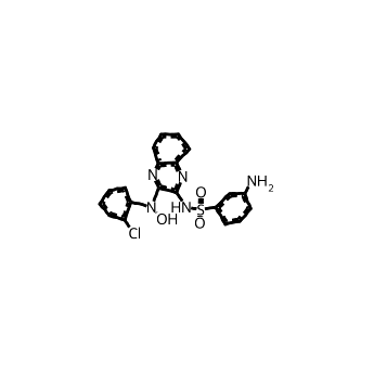 Nc1cccc(S(=O)(=O)Nc2nc3ccccc3nc2N(O)c2ccccc2Cl)c1